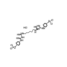 Cl.N=C(NCCCCCCNC(=N)NC(=N)Nc1ccc(C2CC2(Cl)Cl)cc1)NC(=N)Nc1ccc(C2CC2(Cl)Cl)cc1